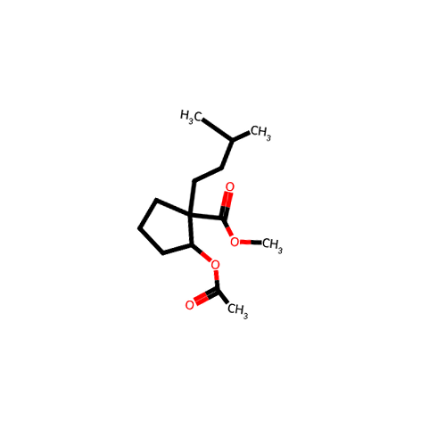 COC(=O)C1(CCC(C)C)CCCC1OC(C)=O